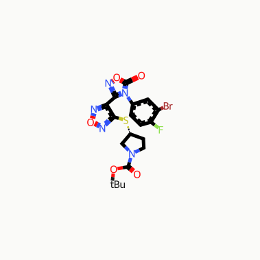 CC(C)(C)OC(=O)N1CC[C@@H](Sc2nonc2-c2noc(=O)n2-c2ccc(F)c(Br)c2)C1